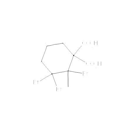 CCC1(CC)CCCC(C(=O)O)(C(=O)O)C1(C)CC